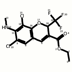 CCOC(=O)C1=Cc2cc(Cl)c(NC)c(Cl)c2OC1C(F)(F)F